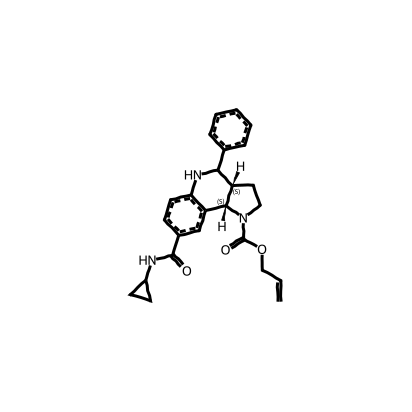 C=CCOC(=O)N1CC[C@H]2C(c3ccccc3)Nc3ccc(C(=O)NC4CC4)cc3[C@H]21